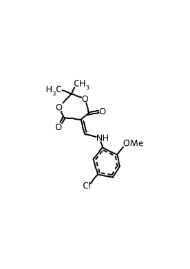 COc1ccc(Cl)cc1NC=C1C(=O)OC(C)(C)OC1=O